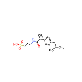 CC(C)Cc1ccc(C(C)C(=O)NCCCS(=O)(=O)O)cc1